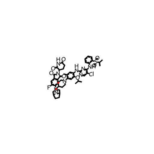 Cc1cc(Nc2ncc(Cl)c(Nc3ccccc3S(=O)(=O)C(C)C)n2)c(OC(C)C)cc1N1CCC(CN2C3CCC2CN(c2cc4c(cc2F)C(=O)N(C2CCC(=O)NC2=O)C4=O)C3)CC1